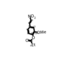 CCC(=O)Oc1ccc(C=C[N+](=O)[O-])cc1OC